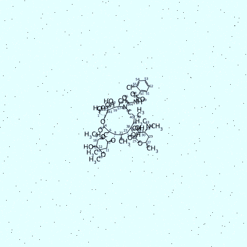 CC[C@H]1OC(=O)[C@H](C)[C@@H](O[C@H]2C[C@@](C)(OC)[C@@H](O)[C@H](C)O2)[C@H](C)[C@@H](O[C@@H]2O[C@H](C)C[C@H](N(C)C)[C@H]2O)[C@](C)(O)C[C@@H](C)CN(C(=O)NS(=O)(=O)c2ccccc2Cl)[C@H](C)[C@@H](O)[C@]1(C)O